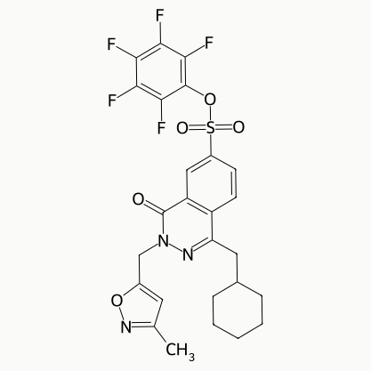 Cc1cc(Cn2nc(CC3CCCCC3)c3ccc(S(=O)(=O)Oc4c(F)c(F)c(F)c(F)c4F)cc3c2=O)on1